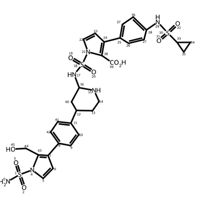 NS(=O)(=O)n1ccc(-c2ccc(C3CCNC(NS(=O)(=O)n4ccc(-c5ccc(NS(=O)(=O)C6CC6)cc5)c4C(=O)O)C3)cc2)c1CO